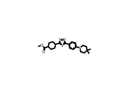 COC(=O)C1CCC(c2nnc(-c3ccc(N4CCC(C)(C)CC4)cc3)s2)CC1